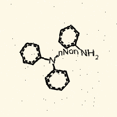 CCCCCCCCCN(c1ccccc1)c1ccccc1.Nc1ccccc1